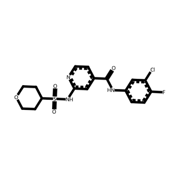 O=C(Nc1ccc(F)c(Cl)c1)c1ccnc(NS(=O)(=O)C2CCOCC2)c1